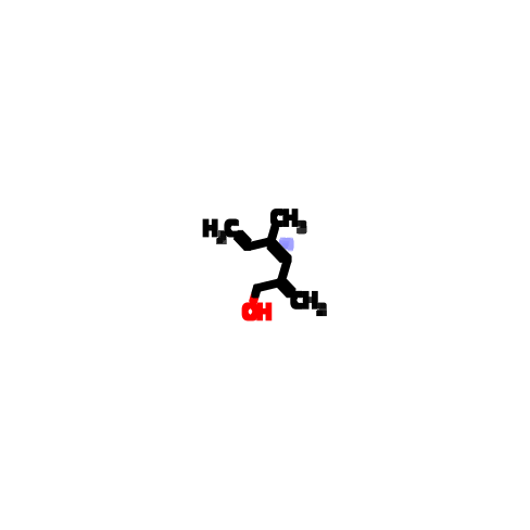 C=C/C(C)=C\C(=C)CO